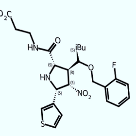 CC[C@H](C)C(OCc1ccccc1F)[C@H]1[C@H]([N+](=O)[O-])[C@H](c2ccsc2)N[C@@H]1C(=O)NCCC(=O)O